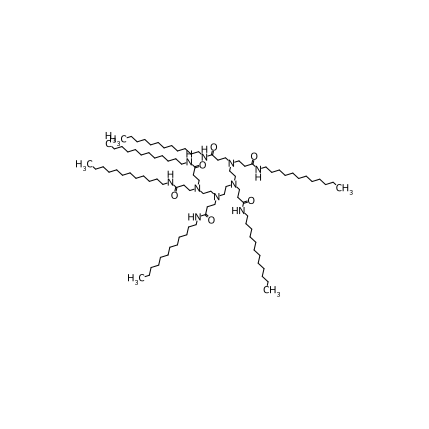 CCCCCCCCCCCCNC(=O)CCN(CCC(=O)NCCCCCCCCCCCC)CCN(CCC(=O)NCCCCCCCCCCCC)CCN(CCC(=O)NCCCCCCCCCCCC)CCN(CCC(=O)NCCCCCCCCCCCC)CCC(=O)NCCCCCCCCCCCC